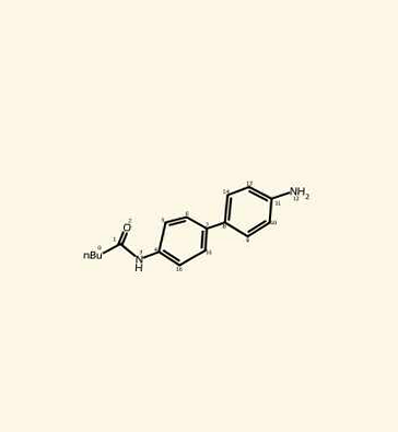 CCCCC(=O)Nc1ccc(-c2ccc(N)cc2)cc1